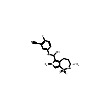 C[C@@H]1CCc2c(cn(C)c2C(O)Nc2ccc(F)c(C#N)c2)S(=N)(=O)N1